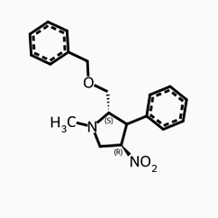 CN1C[C@H]([N+](=O)[O-])C(c2ccccc2)[C@H]1COCc1ccccc1